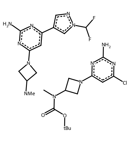 CN(C(=O)OC(C)(C)C)C1CN(c2cc(Cl)nc(N)n2)C1.CNC1CN(c2cc(-c3cnn(C(F)F)c3)nc(N)n2)C1